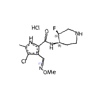 CO/N=C/c1c(C(=O)N[C@@H]2CCNC[C@@H]2F)[nH]c(C)c1Cl.Cl